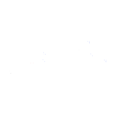 Cc1cc(CC(=O)c2ncc3n2CCN(Cc2ccccc2)C3)cc2cn(COCC[Si](C)(C)C)nc12